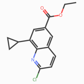 CCOC(=O)c1cc(C2CC2)c2nc(Cl)ccc2c1